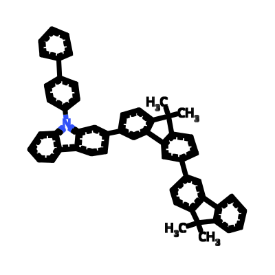 CC1(C)c2ccccc2-c2cc(-c3ccc4c(c3)-c3cc(-c5ccc6c7ccccc7n(-c7ccc(-c8ccccc8)cc7)c6c5)ccc3C4(C)C)ccc21